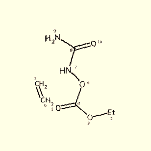 C=C.CCOC(=O)ONC(N)=O